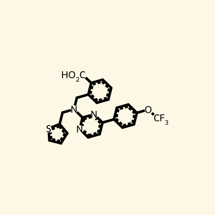 O=C(O)c1ccccc1CN(Cc1cccs1)c1nccc(-c2ccc(OC(F)(F)F)cc2)n1